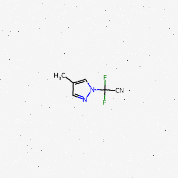 Cc1cnn(C(F)(F)C#N)c1